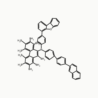 Bc1c(B)c(B)c2c(c1B)c(B)c(N(c1ccc(-c3ccc(-c4ccc5ccccc5c4)cc3)cc1)c1ccc(-c3cccc4c3oc3ccccc34)cc1)c1c(B)c(B)c(B)c(B)c12